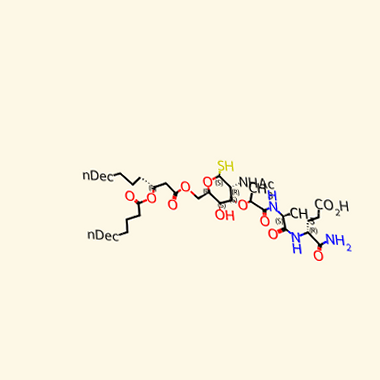 CCCCCCCCCCCCCC(=O)O[C@H](CCCCCCCCCCCCC)CC(=O)OC[C@H]1O[C@@H](S)[C@H](NC(C)=O)[C@H](OC(C)C(=O)N[C@@H](C)C(=O)N[C@H](CCC(=O)O)C(N)=O)[C@@H]1O